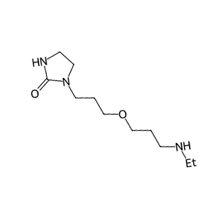 CCNCCCOCCCN1CCNC1=O